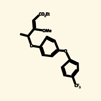 CCOC(=O)/C=C(\OC)C(C)Oc1ccc(Oc2ccc(C(F)(F)F)cc2)cc1